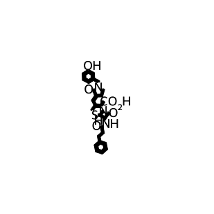 O=C(CCc1ccccc1)N[C@@H]1C(=O)N2C(C(=O)O)=C(C=C3CCN(Cc4cccc(O)c4)C3=O)CS[C@H]12